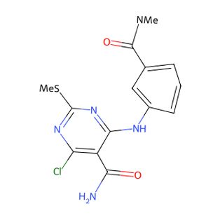 CNC(=O)c1cccc(Nc2nc(SC)nc(Cl)c2C(N)=O)c1